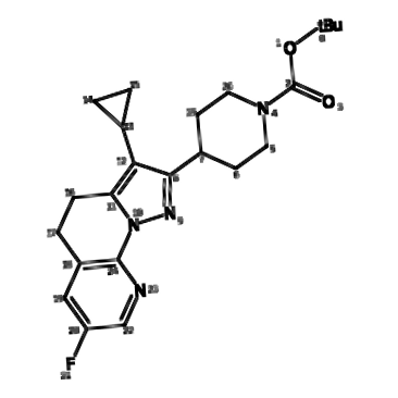 CC(C)(C)OC(=O)N1CCC(c2nn3c(c2C2CC2)CCc2cc(F)cnc2-3)CC1